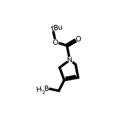 BCC1=CCN(C(=O)OC(C)(C)C)C1